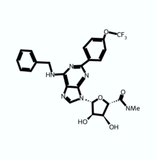 CNC(=O)[C@H]1O[C@@H](n2cnc3c(NCc4ccccc4)nc(-c4ccc(OC(F)(F)F)cc4)nc32)[C@H](O)[C@@H]1O